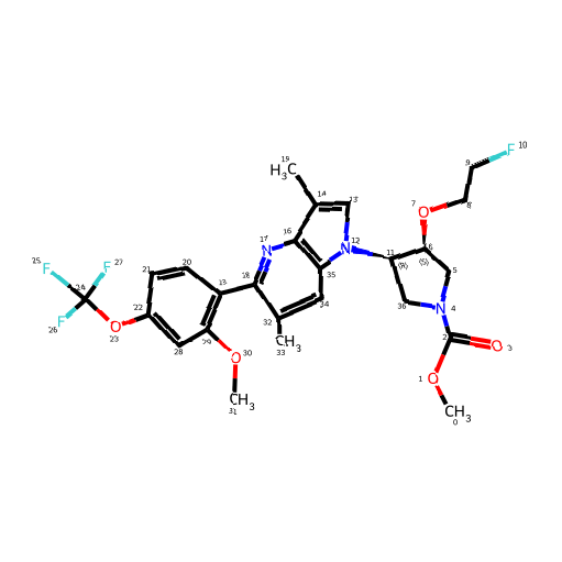 COC(=O)N1C[C@H](OCCF)[C@H](n2cc(C)c3nc(-c4ccc(OC(F)(F)F)cc4OC)c(C)cc32)C1